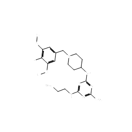 CCOc1cc(CN2CCC(Nc3nc(NCCOC)nc(OC)n3)CC2)cc(OCC)c1F